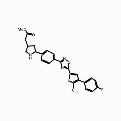 COC(=O)CC1CNC(c2ccc(-c3noc(-c4cc(-c5ccc(F)cc5)c(C(F)(F)F)s4)n3)cc2)C1